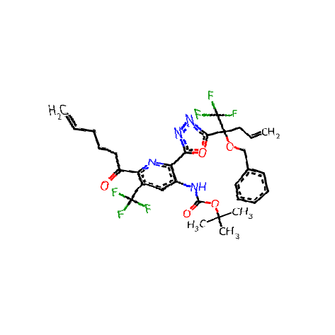 C=CCCCC(=O)c1nc(-c2nnc(C(CC=C)(OCc3ccccc3)C(F)(F)F)o2)c(NC(=O)OC(C)(C)C)cc1C(F)(F)F